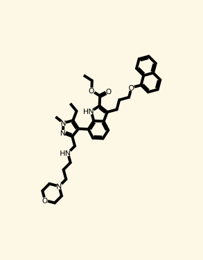 CCOC(=O)c1[nH]c2c(-c3c(CNCCCN4CCOCC4)nn(C)c3CC)cccc2c1CCCOc1cccc2ccccc12